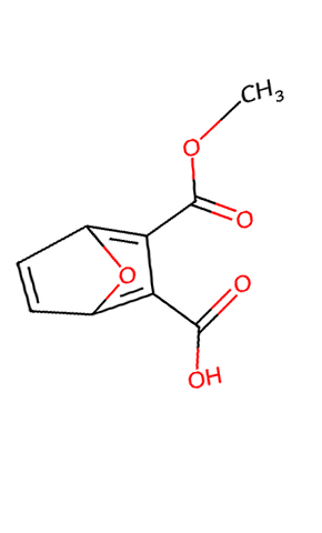 COC(=O)c1c(C(=O)O)c2ccc1o2